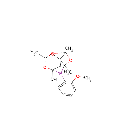 COc1ccccc1P1C2(C)CC34CC(C)(O2)OC3(C)OC14C